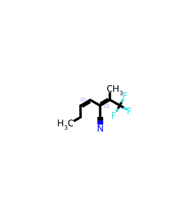 CC/C=C\C(C#N)=C(/C)C(F)(F)F